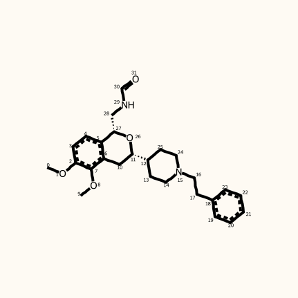 COc1ccc2c(c1OC)C[C@@H](C1CCN(CCc3ccccc3)CC1)O[C@H]2CNC=O